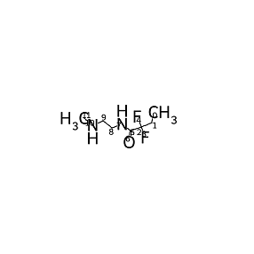 CCC(F)(F)C(=O)NCCNC